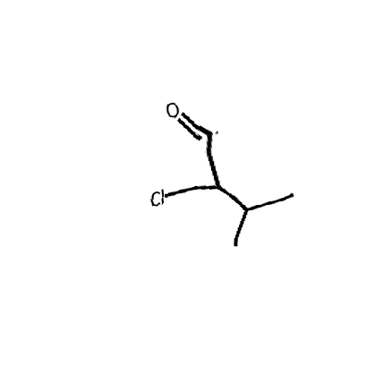 CC(C)C(Cl)[C]=O